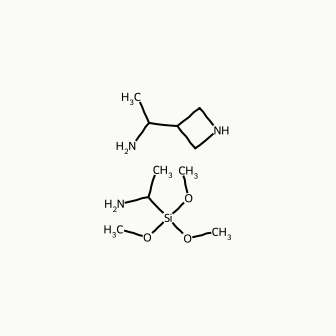 CC(N)C1CNC1.CO[Si](OC)(OC)C(C)N